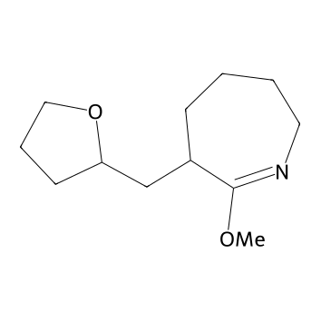 COC1=NCCCCC1CC1CCCO1